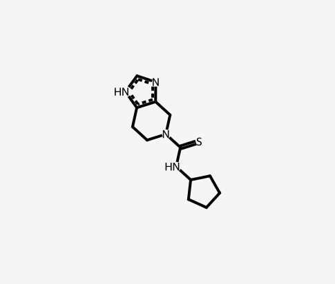 S=C(NC1CCCC1)N1CCc2[nH]cnc2C1